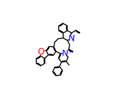 C=CC1=NC2CC(=C)[n+]3cc(C)c(-c4ccccc4)cc3-c3cc4c(cc3CCC2c2ccccc21)oc1ccccc14